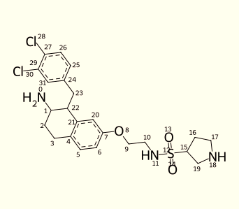 NC1CCc2ccc(OCCNS(=O)(=O)C3CCNC3)cc2C1Cc1ccc(Cl)c(Cl)c1